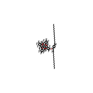 CCCCCCCCCCCCCCCCCCN(C)c1ccc([NH+](C)CCCCCCCCCCCCCCCCCC)cc1.Fc1c(F)c(F)c2c(F)c([B-](c3c(F)c(F)c4c(F)c(F)c(F)c(F)c4c3F)(c3c(F)c(F)c4c(F)c(F)c(F)c(F)c4c3F)c3c(F)c(F)c4c(F)c(F)c(F)c(F)c4c3F)c(F)c(F)c2c1F